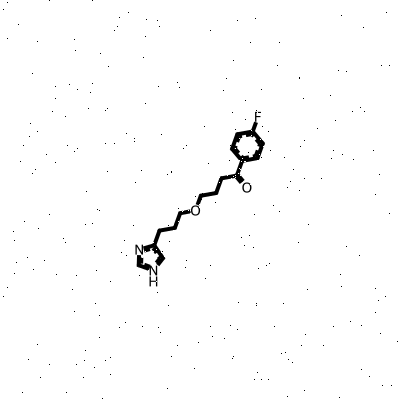 O=C(CCCOCCCc1c[nH]cn1)c1ccc(F)cc1